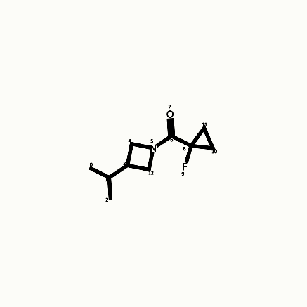 CC(C)C1CN(C(=O)C2(F)CC2)C1